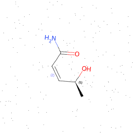 C[C@H](O)/C=C\C(N)=O